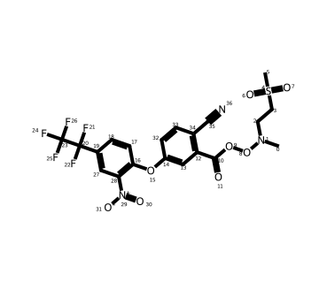 CN(CCS(C)(=O)=O)OOC(=O)c1cc(Oc2ccc(C(F)(F)C(F)(F)F)cc2[N+](=O)[O-])ccc1C#N